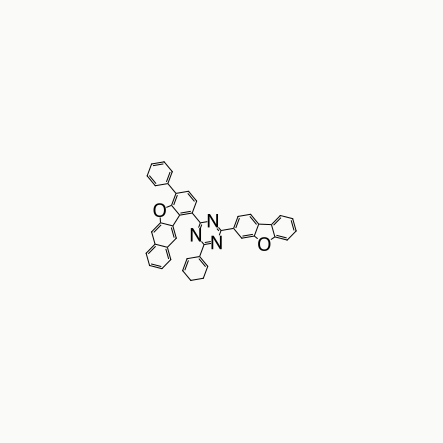 C1=CC(c2nc(-c3ccc4c(c3)oc3ccccc34)nc(-c3ccc(-c4ccccc4)c4oc5cc6ccccc6cc5c34)n2)=CCC1